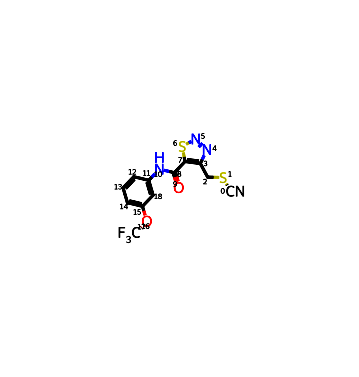 N#CSCc1nnsc1C(=O)Nc1cccc(OC(F)(F)F)c1